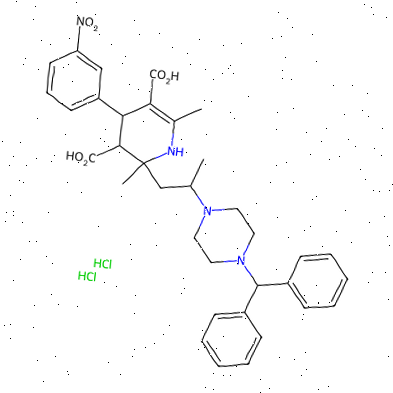 CC1=C(C(=O)O)C(c2cccc([N+](=O)[O-])c2)C(C(=O)O)C(C)(CC(C)N2CCN(C(c3ccccc3)c3ccccc3)CC2)N1.Cl.Cl